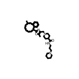 Cc1cccccc(-c2nc(CN3CCC(C(=O)NCCCN4CCCCC4)CC3)c(C)o2)c2ccccc2c1